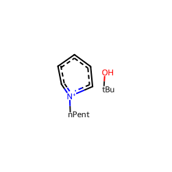 CC(C)(C)O.CCCCC[n+]1ccccc1